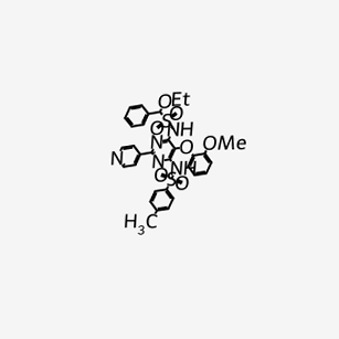 CCOC(c1ccccc1)S(=O)(=O)Nc1nc(-c2ccncc2)nc(NS(=O)(=O)c2ccc(C)cc2)c1Oc1ccccc1OC